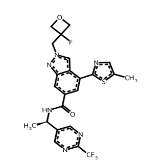 Cc1cnc(-c2cc(C(=O)N[C@H](C)c3cnc(C(F)(F)F)nc3)cc3nn(CC4(F)COC4)cc23)s1